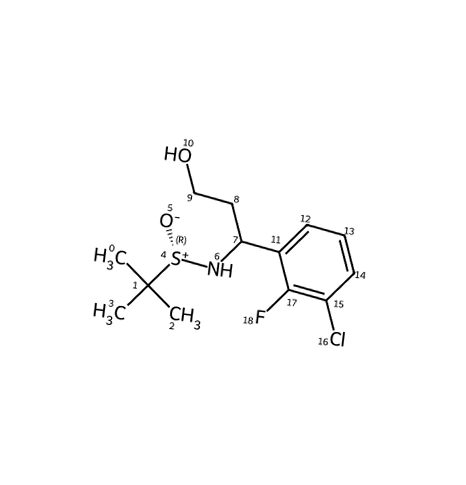 CC(C)(C)[S@+]([O-])NC(CCO)c1cccc(Cl)c1F